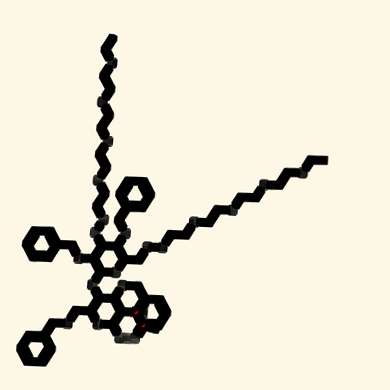 CCOCCOCCOCCOCCOOCC1OC(OC2C(COCc3ccccc3)OC(O)C(NC(C)=O)C2OCc2ccccc2)C(OCc2ccccc2)C(OOCCOCCOCCOCCOCC)C1OCc1ccccc1